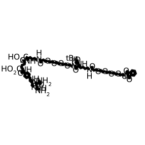 CC(C)(C)OC(=O)NC(CCCCNC(=O)CCOCCOCCOCCOCCON1C(=O)c2ccccc2C1=O)C(=O)NCCOCCOCCOCCOCCC(=O)NCCCCC(NC(=O)CC[C@H](NC(=O)c1ccc(NCc2cnc(NN)c(C(N)=O)n2)cc1)C(=O)O)C(=O)O